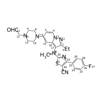 CCc1nn2ccc(N3CCN(CC=O)CC3)cc2c1N(C)c1nc(-c2ccc(F)cc2)c(C#N)s1